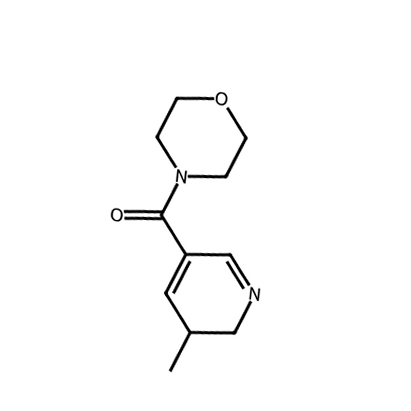 CC1C=C(C(=O)N2CCOCC2)C=NC1